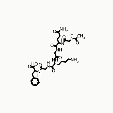 CC(=O)NCC(=O)NC(CCC(N)=O)C(=O)NCC(=O)N[C@@H](CCCCN)C(=O)NCC(=O)NC(Cc1ccccc1)C(=O)O